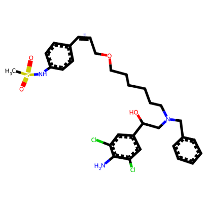 CS(=O)(=O)Nc1ccc(/C=C\COCCCCCCN(Cc2ccccc2)CC(O)c2cc(Cl)c(N)c(Cl)c2)cc1